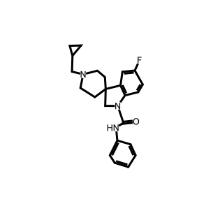 O=C(Nc1ccccc1)N1CC2(CCN(CC3CC3)CC2)c2cc(F)ccc21